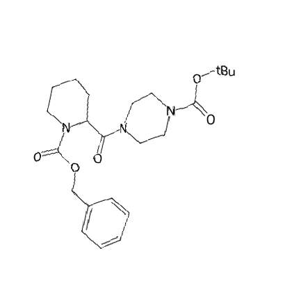 CC(C)(C)OC(=O)N1CCN(C(=O)C2CCCCN2C(=O)OCc2ccccc2)CC1